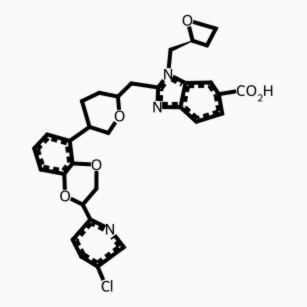 O=C(O)c1ccc2nc(CC3CCC(c4cccc5c4OCC(c4ccc(Cl)cn4)O5)CO3)n(C[C@@H]3CCO3)c2c1